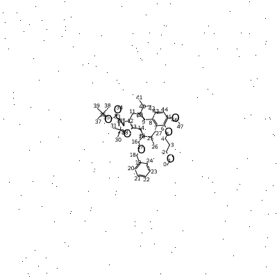 COCCCOc1cc(C[C@@H](CC2C(C[C@H](COCc3ccccc3)C(C)C)OC(C)(C)N2C(=O)OC(C)(C)C)C(C)C)ccc1OC